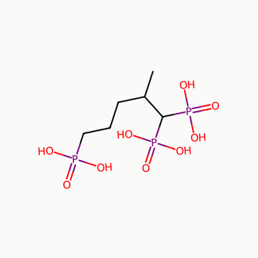 CC(CCCP(=O)(O)O)C(P(=O)(O)O)P(=O)(O)O